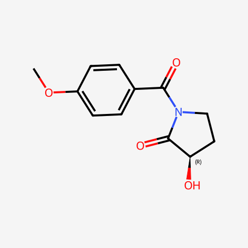 COc1ccc(C(=O)N2CC[C@@H](O)C2=O)cc1